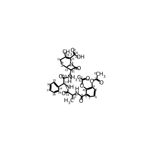 CC(=O)Oc1cccc(C(=O)NC(C)C(=O)NC(C(=O)N[C@@H]2C(=O)N3C(C(=O)O)=C(C)CSC23)c2ccccc2)c1OC(C)=O